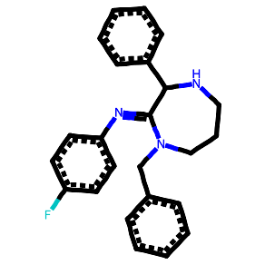 Fc1ccc(/N=C2/C(c3ccccc3)NCCCN2Cc2ccccc2)cc1